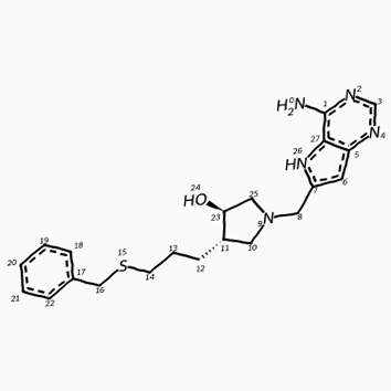 Nc1ncnc2cc(CN3C[C@H](CCCSCc4ccccc4)[C@@H](O)C3)[nH]c12